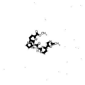 COC(=O)c1ccc2c(n1)N(C(=O)Nc1nccc(-c3cnc(C)o3)n1)[C@H]1CCN2C1